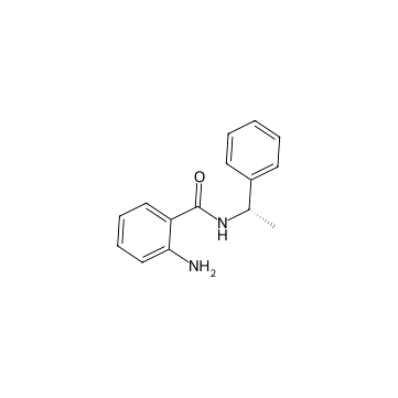 C[C@H](NC(=O)c1ccccc1N)c1ccccc1